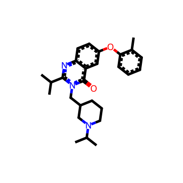 Cc1ccccc1Oc1ccc2nc(C(C)C)n(CC3CCCN(C(C)C)C3)c(=O)c2c1